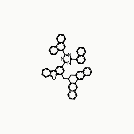 c1ccc2cc3c(cc2c1)CC(Cc1cc(-c2nc(-c4cccc5ccccc45)nc(-c4cc5ccccc5c5ccccc45)n2)cc2c1oc1ccccc12)c1cc2ccccc2cc1-3